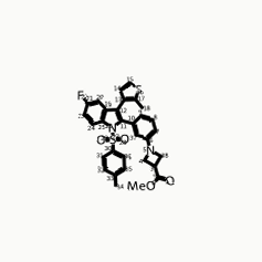 COC(=O)C1CN(c2cccc(-c3c(-c4ccsc4C)c4cc(F)ccc4n3S(=O)(=O)c3ccc(C)cc3)c2)C1